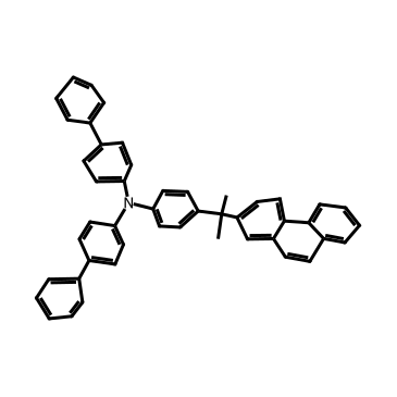 CC(C)(c1ccc(N(c2ccc(-c3ccccc3)cc2)c2ccc(-c3ccccc3)cc2)cc1)c1ccc2c(ccc3ccccc32)c1